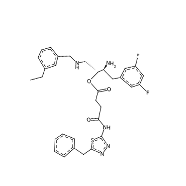 CCc1cccc(CNC[C@@H](OC(=O)CCC(=O)Nc2nnc(Cc3ccccc3)s2)[C@@H](N)Cc2cc(F)cc(F)c2)c1